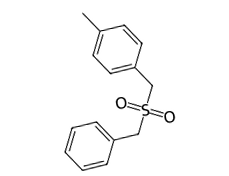 Cc1ccc(CS(=O)(=O)Cc2ccccc2)cc1